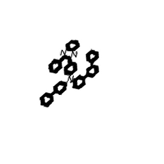 c1ccc(-c2ccc(N(c3ccc(-c4nc5ccccc5nc4-c4ccccc4)cc3)c3cccc(-c4cccc(-c5ccccc5)c4)c3)cc2)cc1